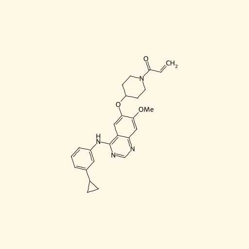 C=CC(=O)N1CCC(Oc2cc3c(Nc4cccc(C5CC5)c4)ncnc3cc2OC)CC1